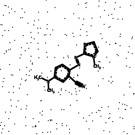 CN(C)c1ccc(N=Nc2scc[n+]2C)c(C#N)c1